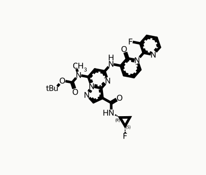 CN(C(=O)OC(C)(C)C)c1cc(Nc2cccn(-c3ncccc3F)c2=O)nc2c(C(=O)N[C@@H]3C[C@@H]3F)cnn12